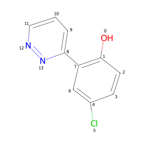 Oc1ccc(Cl)cc1-c1cccnn1